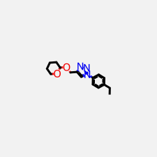 CCc1ccc(-n2cc(COC3CCCCO3)nn2)cc1